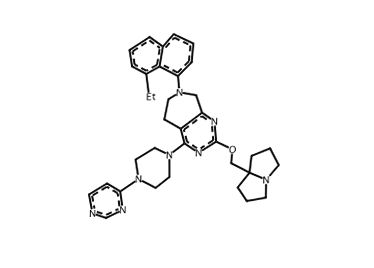 CCc1cccc2cccc(N3CCc4c(nc(OCC56CCCN5CCC6)nc4N4CCN(c5ccncn5)CC4)C3)c12